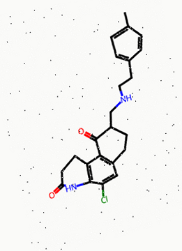 Cc1ccc(CCNCC2CCc3cc(Cl)c4c(c3C2=O)CCC(=O)N4)cc1